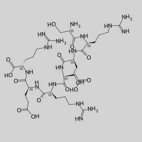 N=C(N)NCCC[C@H](NC(=O)[C@H](CCC(=O)O)NC(=O)[C@H](CCCNC(=N)N)NC(=O)[C@H](CO)NC(=O)[C@H](CCC(=O)O)NC(=O)[C@H](CCCNC(=N)N)NC(=O)[C@@H](N)CO)C(=O)O